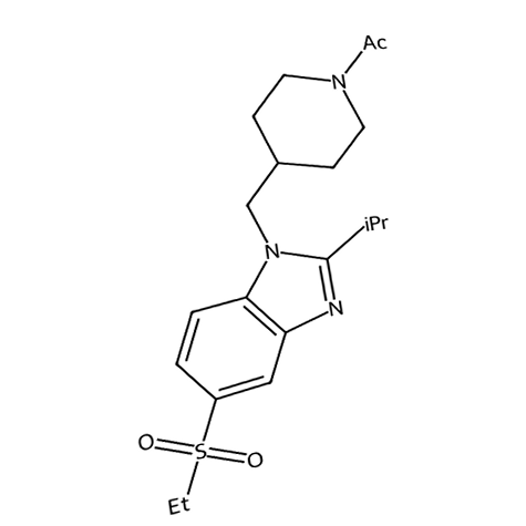 CCS(=O)(=O)c1ccc2c(c1)nc(C(C)C)n2CC1CCN(C(C)=O)CC1